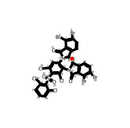 O=C1c2ccc(Br)c(Br)c2C(=O)N1c1cc(Cl)c(S(=O)(=O)c2c(Cl)cccc2Cl)c(Cl)c1N1C(=O)c2ccc(Br)c(Br)c2C1=O